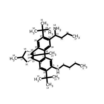 CCCCNc1cc2c(cc1C(C)(C)C)[C@]13CC(C)C[C@]1(CC(C)C3)c1cc(C(C)(C)C)c(C(N)CCC)cc1-2